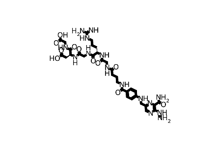 N=C(N)NCCC[C@H](NC(=O)CNC(=O)CCCNC(=O)c1ccc(NCc2cnc(NN)c(C(N)=O)n2)cc1)C(=O)NCC(=O)N[C@@H](CC(=O)O)C(=O)NCC(=O)O